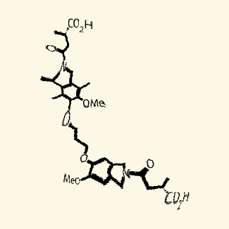 COc1cc2c(cc1OCCCOc1c(C)c3c(c(C)c1OC)CN(C(=O)C[C@H](C)C(=O)O)C3C)CN(C(=O)C[C@H](C)C(=O)O)C2